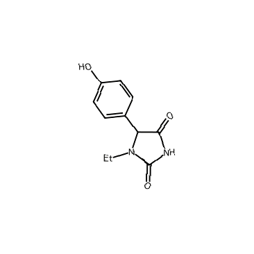 CCN1C(=O)NC(=O)C1c1ccc(O)cc1